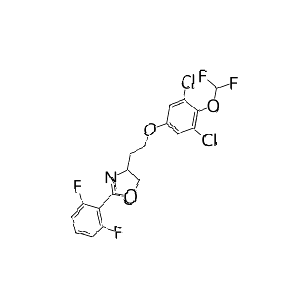 Fc1cccc(F)c1C1=NC(CCOc2cc(Cl)c(OC(F)F)c(Cl)c2)CO1